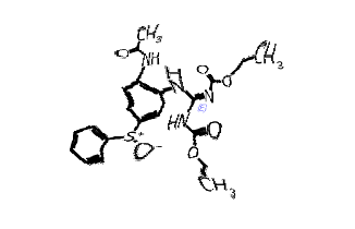 CCOC(=O)/N=C(/NC(=O)OCC)Nc1cc([S+]([O-])c2ccccc2)ccc1NC(C)=O